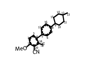 COc1ccc(-c2ccc(C3CCC(C)CC3)cc2)c(F)c1C#N